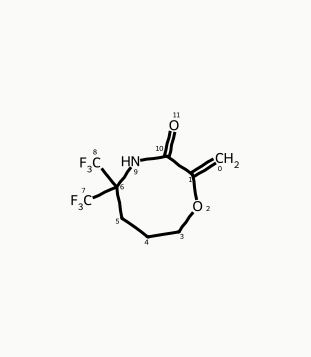 C=C1OCCCC(C(F)(F)F)(C(F)(F)F)NC1=O